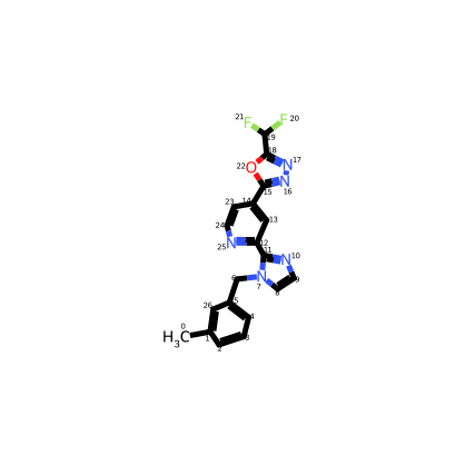 Cc1cccc(Cn2ccnc2-c2cc(-c3nnc(C(F)F)o3)ccn2)c1